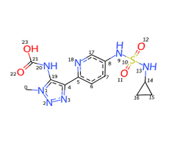 Cn1nnc(-c2ccc(NS(=O)(=O)NC3CC3)cn2)c1NC(=O)O